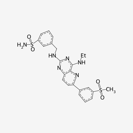 CCNc1nc(NCc2cccc(S(N)(=O)=O)c2)nc2ccc(-c3cccc(S(C)(=O)=O)c3)nc12